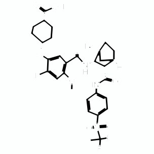 COc1cc(F)c(O[C@H]2CC[C@@H](C(=O)O)CC2)cc1C(=O)N[C@@H]1[C@H]2CC[C@H](C2)[C@@H]1C(=O)Nc1ccc(S(=O)(=O)C(F)(F)F)cc1